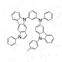 Cc1ccc(-n2c3ccccc3c3cc(N(c4ccccc4)c4cccc(-n5c6ccccc6c6cc7c(ccn7-c7ccccc7)cc65)c4)ccc32)cc1